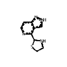 c1cc2n[nH]cc2c(C2NCCS2)n1